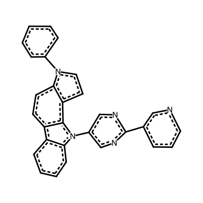 c1ccc(-n2ccc3c2ccc2c4ccccc4n(-c4cnc(-c5cccnc5)nc4)c23)cc1